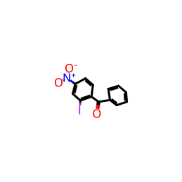 O=C(c1ccccc1)c1ccc([N+](=O)[O-])cc1I